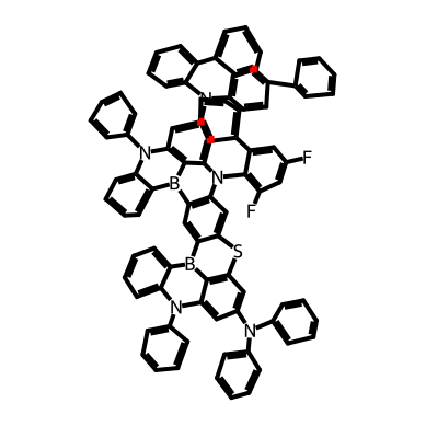 Fc1cc(F)c(N2c3cc4c(cc3B3c5ccccc5N(c5ccccc5)c5cc(N(c6ccc(-c7ccccc7)cc6)c6ccccc6-c6ccccc6)cc2c53)B2c3ccccc3N(c3ccccc3)c3cc(N(c5ccccc5)c5ccccc5)cc(c32)S4)c(-c2ccccc2)c1